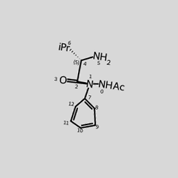 CC(=O)NN(C(=O)[C@@H](N)C(C)C)c1ccccc1